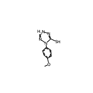 C=NN(/C(S)=N\N)c1ccc(OC)cc1